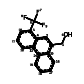 OCc1cc2c(C(F)(F)F)cccc2c2ccccc12